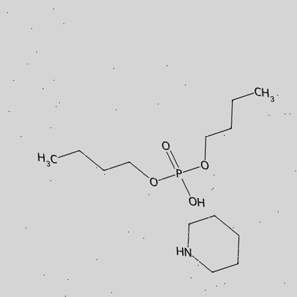 C1CCNCC1.CCCCOP(=O)(O)OCCCC